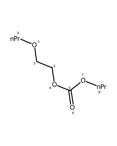 CCCOCCOC(=O)OCCC